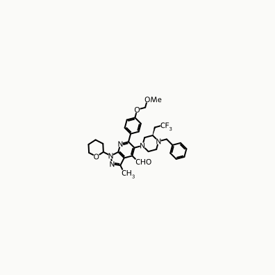 COCOc1ccc(-c2nc3c(c(C)nn3C3CCCCO3)c(C=O)c2N2CCN(Cc3ccccc3)[C@H](CC(F)(F)F)C2)cc1